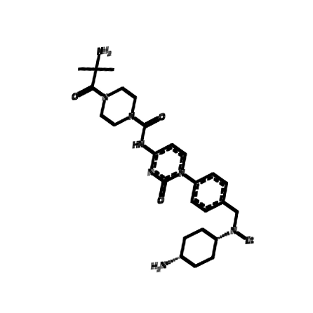 CCN(Cc1ccc(-n2ccc(NC(=O)N3CCN(C(=O)C(C)(C)N)CC3)nc2=O)cc1)[C@H]1CC[C@@H](N)CC1